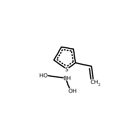 C=Cc1cccs1.OBO